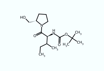 CCC(C)[C@H](NC(=O)OC(C)(C)C)C(=O)N1CCC[C@H]1CO